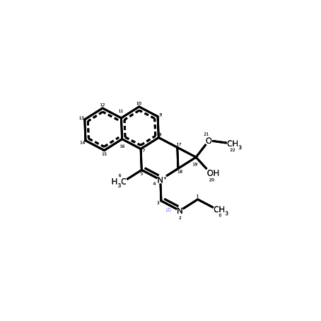 CC/N=C\[N+]1=C(C)c2c(ccc3ccccc23)C2C1C2(O)OC